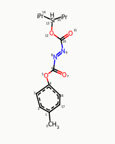 Cc1ccc(OC(=O)N=NC(=O)O[SiH](C(C)C)C(C)C)cc1